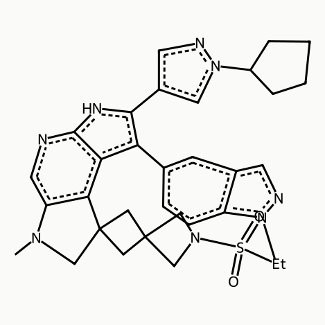 CCS(=O)(=O)N1CC2(C1)CC1(CN(C)c3cnc4[nH]c(-c5cnn(C6CCCC6)c5)c(-c5ccc6c(cnn6C)c5)c4c31)C2